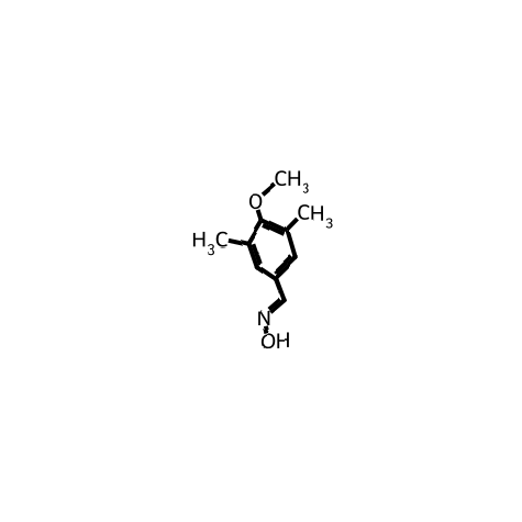 COc1c(C)cc(C=NO)cc1C